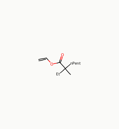 C=COC(=O)C(C)(CC)CCCCC